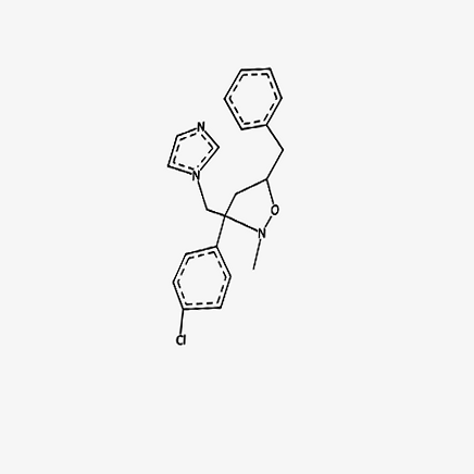 CN1OC(Cc2ccccc2)CC1(Cn1ccnc1)c1ccc(Cl)cc1